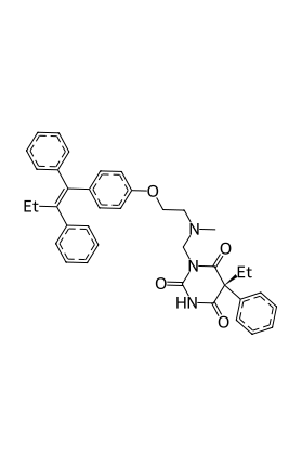 CC/C(=C(\c1ccccc1)c1ccc(OCCN(C)CN2C(=O)NC(=O)[C@@](CC)(c3ccccc3)C2=O)cc1)c1ccccc1